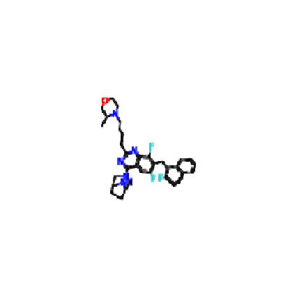 CC1COCCN1CCCCc1nc(N2CC3CCC(C2)N3)c2cc(F)c(Cc3c(F)ccc4ccccc34)c(F)c2n1